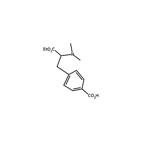 CCOC(=O)C(Cc1ccc(C(=O)O)cc1)N(C)C